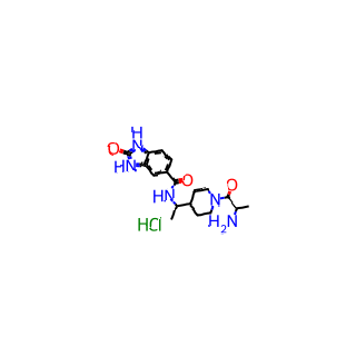 CC(N)C(=O)N1CCC(C(C)NC(=O)c2ccc3[nH]c(=O)[nH]c3c2)CC1.Cl